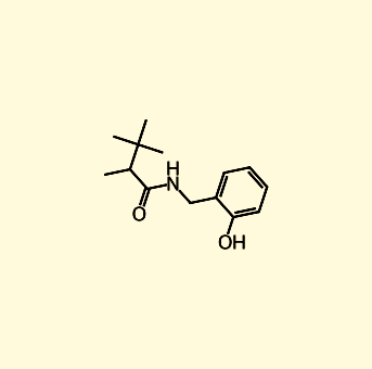 CC(C(=O)NCc1ccccc1O)C(C)(C)C